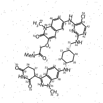 CNC(=O)COc1cc2cc(Nc3nc(NC[C@H]4CC[C@@H](Nc5ccc6c(C7CCC(=O)NC7=O)nn(C)c6c5)CC4)ncc3Cl)ccc2n(C)c1=O